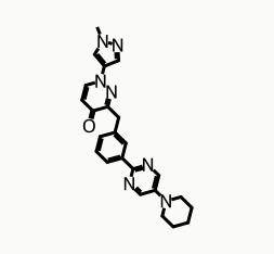 Cn1cc(-n2ccc(=O)c(Cc3cccc(-c4ncc(N5CCCCC5)cn4)c3)n2)cn1